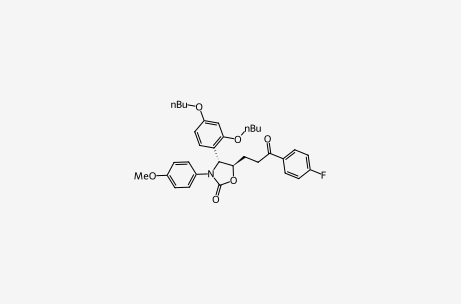 CCCCOc1ccc([C@@H]2[C@@H](CCC(=O)c3ccc(F)cc3)OC(=O)N2c2ccc(OC)cc2)c(OCCCC)c1